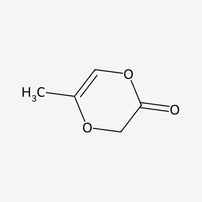 CC1=COC(=O)CO1